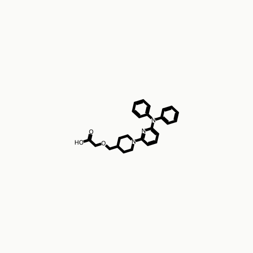 O=C(O)COCC1CCN(c2cccc(N(c3ccccc3)c3ccccc3)n2)CC1